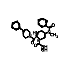 CN(C(=O)c1ccccc1)C1CN[C@H](C(=O)N2CCN(c3ccccc3)CC2)[C@@H](C(=O)NO)C1